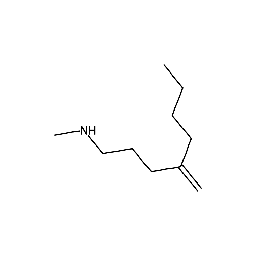 C=C(CCCC)CCCNC